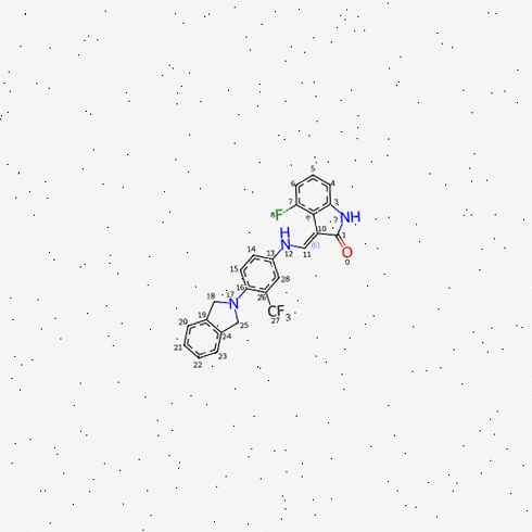 O=C1Nc2cccc(F)c2/C1=C\Nc1ccc(N2Cc3ccccc3C2)c(C(F)(F)F)c1